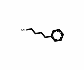 CC(=O)OCCC[CH]c1ccccc1